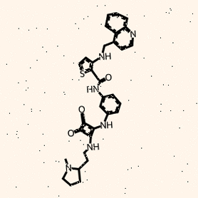 CN1CCCC1CCNc1c(Nc2cccc(NC(=O)c3sccc3NCc3ccnc4ccccc34)c2)c(=O)c1=O